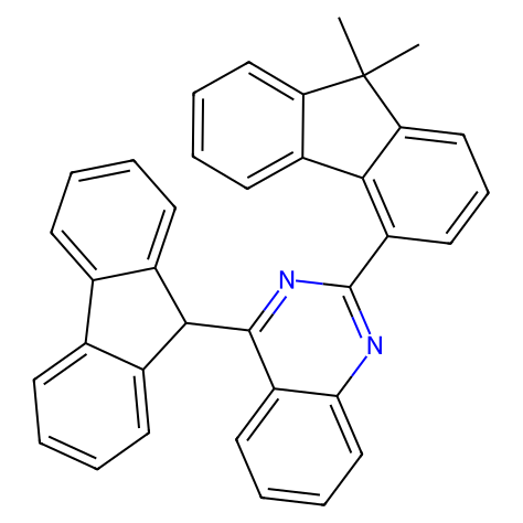 CC1(C)c2ccccc2-c2c(-c3nc(C4c5ccccc5-c5ccccc54)c4ccccc4n3)cccc21